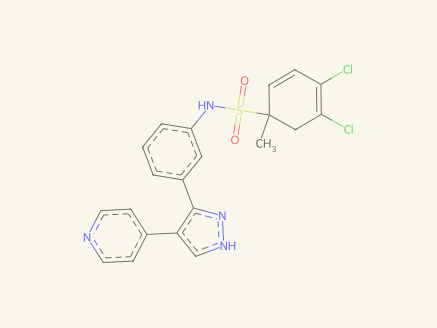 CC1(S(=O)(=O)Nc2cccc(-c3n[nH]cc3-c3ccncc3)c2)C=CC(Cl)=C(Cl)C1